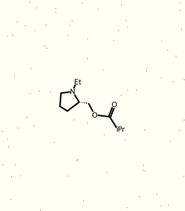 CCN1CCC[C@H]1COC(=O)C(C)C